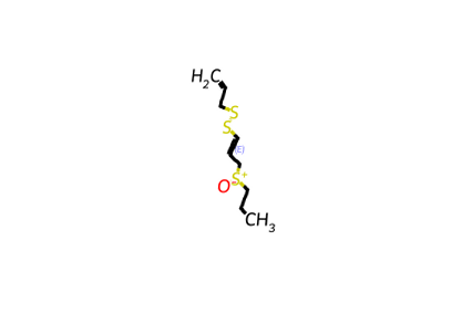 C=CCSS/C=C/C[S+]([O-])CCC